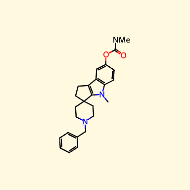 CNC(=O)Oc1ccc2c(c1)c1c(n2C)C2(CC1)CCN(Cc1ccccc1)CC2